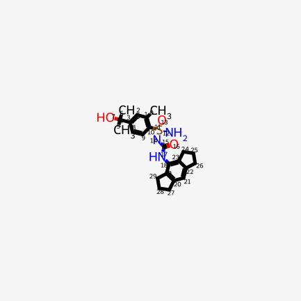 Cc1cc(C(C)(C)O)ccc1[S@@](N)(=O)=NC(=O)Nc1c2c(cc3c1CCC3)CCC2